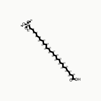 CO[Si](CCCCCCCCCCCCCCCCCCCCCCCCCCCC(=O)O)(OC)OC